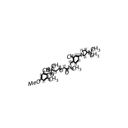 COc1cc(C)c(S(=O)(=O)N(C)CCOCC(=O)N(C)Cc2ccc(N3CCC(N(C)C)C3)cc2Cl)c(C)c1